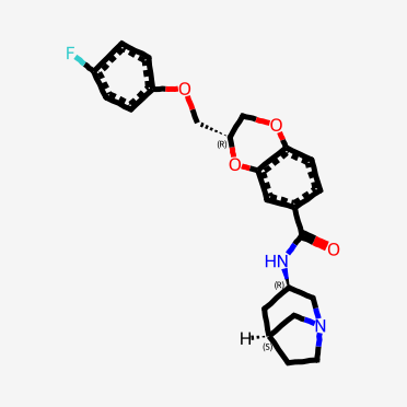 O=C(N[C@@H]1C[C@@H]2CCN(C2)C1)c1ccc2c(c1)O[C@H](COc1ccc(F)cc1)CO2